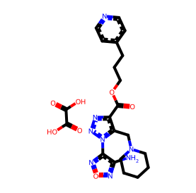 Nc1nonc1-n1nnc(C(=O)OCCCc2ccncc2)c1CN1CCCCC1.O=C(O)C(=O)O